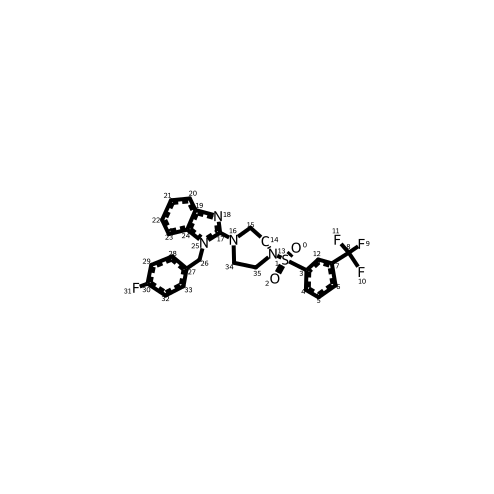 O=S(=O)(c1cccc(C(F)(F)F)c1)N1CCN(c2nc3ccccc3n2Cc2ccc(F)cc2)CC1